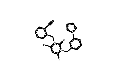 N#Cc1ccccc1Cn1c(Cl)cc(=O)n(Cc2cccc(-n3cccc3)c2)c1=O